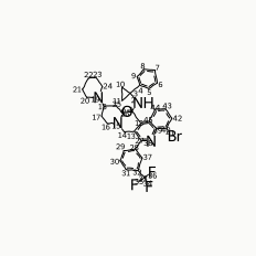 O=C(NC1(c2ccccc2)CC1)c1c(CN2CCC(N3CCCCC3)CC2)c(-c2cccc(C(F)(F)F)c2)nc2c(Br)cccc12